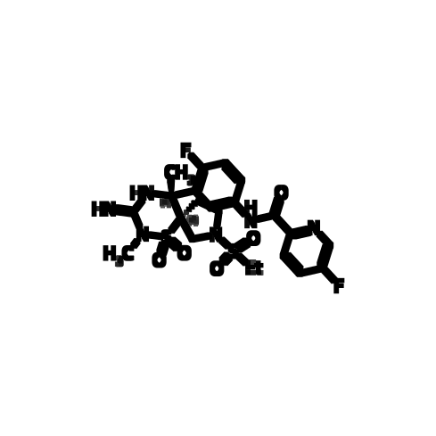 CCS(=O)(=O)N1CC[C@@]2(C1)[C@@](C)(c1cc(NC(=O)c3ccc(F)cn3)ccc1F)NC(=N)N(C)S2(=O)=O